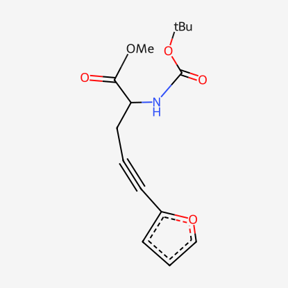 COC(=O)C(CC#Cc1ccco1)NC(=O)OC(C)(C)C